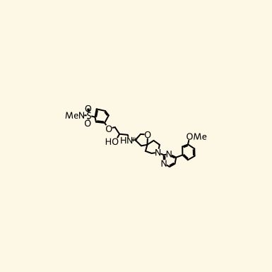 CNS(=O)(=O)c1cccc(OCC(O)CN[C@H]2COC3(CCN(c4nccc(-c5cccc(OC)c5)n4)CC3)C2)c1